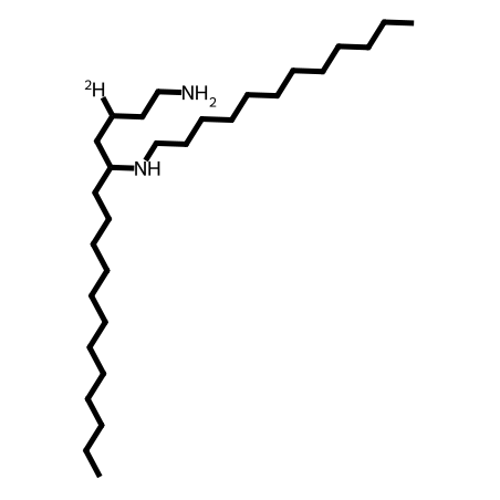 [2H]C(CCN)CC(CCCCCCCCCCCC)NCCCCCCCCCCCC